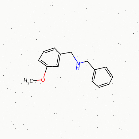 COc1cccc(CN[CH]c2ccccc2)c1